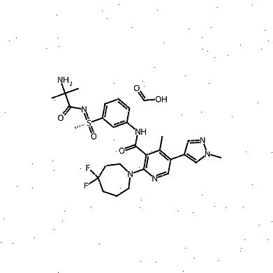 Cc1c(-c2cnn(C)c2)cnc(N2CCCC(F)(F)CC2)c1C(=O)Nc1cccc([S@@](C)(=O)=NC(=O)C(C)(C)N)c1.O=CO